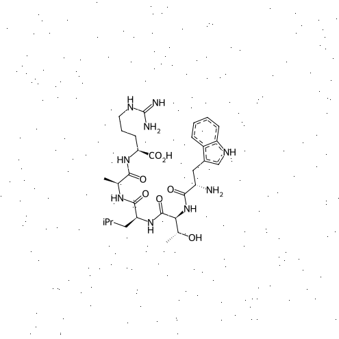 CC(C)C[C@H](NC(=O)[C@@H](NC(=O)[C@@H](N)Cc1c[nH]c2ccccc12)[C@@H](C)O)C(=O)N[C@@H](C)C(=O)N[C@@H](CCCNC(=N)N)C(=O)O